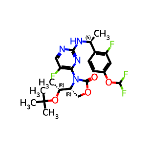 C[C@H](Nc1ncc(F)c(N2C(=O)OC[C@@H]2[C@@H](C)OC(C)(C)C)n1)c1ccc(OC(F)F)cc1F